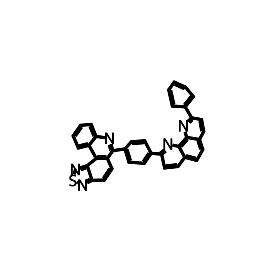 c1ccc(-c2ccc3ccc4ccc(-c5ccc(-c6nc7ccccc7c7c6ccc6nsnc67)cc5)nc4c3n2)cc1